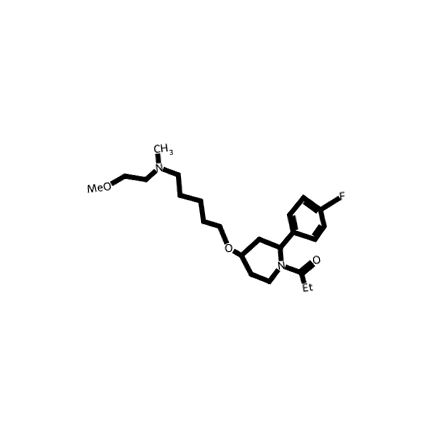 CCC(=O)N1CCC(OCCCCCN(C)CCOC)CC1c1ccc(F)cc1